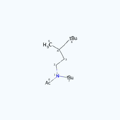 CC(=O)N(CCC(C)C(C)(C)C)C(C)(C)C